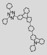 c1ccc(-c2nc(-c3ccccc3)nc(-c3ccc4c5cc(-c6ccc(-c7ccc8c(c7)c7ccccc7n8-c7ccccc7)cc6)ccc5c5ccccc5c4c3)n2)cc1